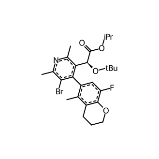 Cc1nc(C)c([C@H](OC(C)(C)C)C(=O)OC(C)C)c(-c2cc(F)c3c(c2C)CCCO3)c1Br